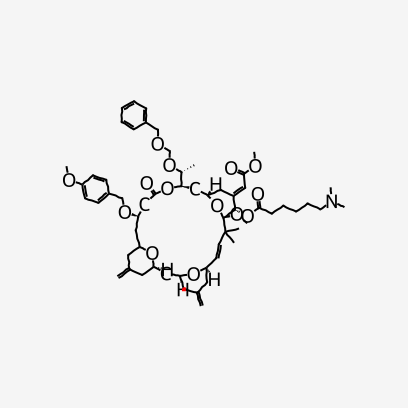 C=C1CC2C[C@@H](OCc3ccc(OC)cc3)CC(=O)O[C@@H]([C@@H](C)OCOCc3ccccc3)C[C@@H]3C/C(=C\C(=O)OC)[C@H](OC(=O)CCCCCN(C)C)[C@@](OC)(O3)C(C)(C)/C=C/[C@H]3CC(=C)C[C@@H](C[C@@H](C1)O2)O3